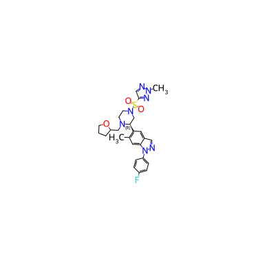 Cc1cc2c(cnn2-c2ccc(F)cc2)cc1[C@@H]1CN(S(=O)(=O)c2cnn(C)n2)CCN1CC1CCCO1